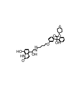 CN1CCC(OC(=O)C(O)(c2ccccc2)c2cccc(OCCCCCNCC(O)c3ccc(O)c4[nH]c(=O)ccc34)c2)CC1